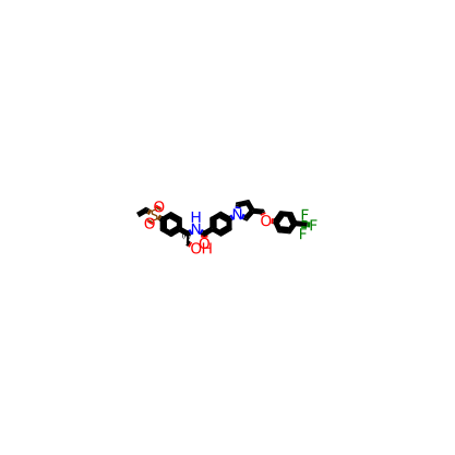 CCS(=O)(=O)c1ccc([C@H](CO)NC(=O)c2ccc(N3CCC(COc4ccc(C(F)(F)F)cc4)C3)cc2)cc1